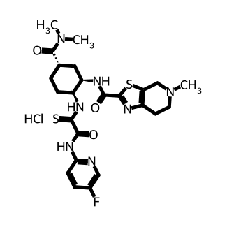 CN1CCc2nc(C(=O)N[C@@H]3C[C@@H](C(=O)N(C)C)CC[C@@H]3NC(=S)C(=O)Nc3ccc(F)cn3)sc2C1.Cl